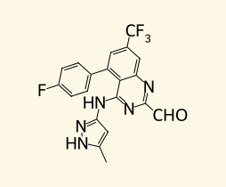 Cc1cc(Nc2nc(C=O)nc3cc(C(F)(F)F)cc(-c4ccc(F)cc4)c23)n[nH]1